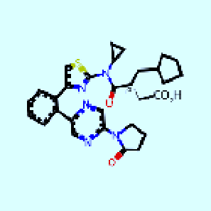 O=C(O)C[C@@H](CC1CCCC1)C(=O)N(c1nc(-c2ccccc2-c2cnc(N3CCCC3=O)cn2)cs1)C1CC1